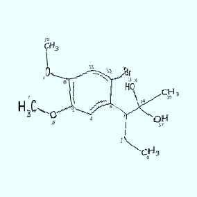 CCC(c1cc(OC)c(OC)cc1Br)C(C)(O)O